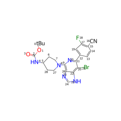 CC(C)(C)OC(=O)NC1CCN(c2nc(-c3ccc(C#N)c(F)c3)c(Br)c3[nH]cnc23)CC1